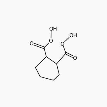 O=C(OO)C1CCCCC1C(=O)OO